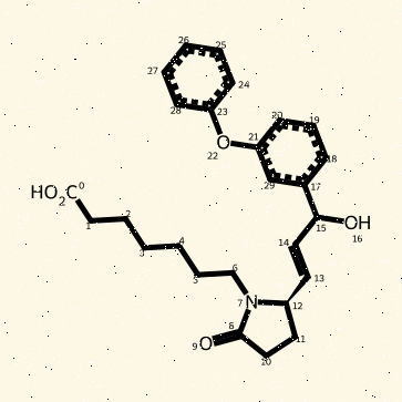 O=C(O)CCCCCCN1C(=O)CC[C@@H]1/C=C/C(O)c1cccc(Oc2ccccc2)c1